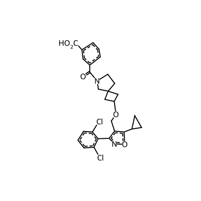 O=C(O)c1cccc(C(=O)N2CCC3(CC(OCc4c(-c5c(Cl)cccc5Cl)noc4C4CC4)C3)C2)c1